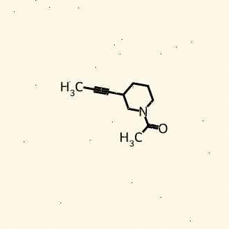 CC#CC1CCCN(C(C)=O)C1